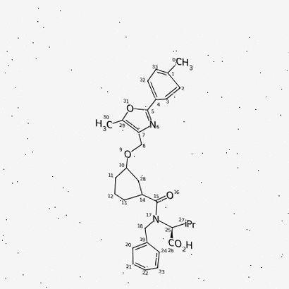 Cc1ccc(-c2nc(COC3CCCC(C(=O)N(Cc4ccccc4)[C@H](C(=O)O)C(C)C)C3)c(C)o2)cc1